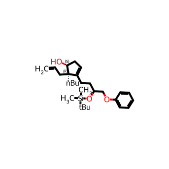 C=CC[C@]1(CCCC)C(CCC(COc2ccccc2)O[Si](C)(C)C(C)(C)C)=CC[C@@H]1O